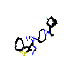 C=C(c1cccc(F)c1)N1CCC(Nc2ncnc3sc4c(c23)CCCC4)CC1